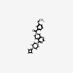 COc1cccc(C(=O)N2CCc3c(ncnc3N3CCN(C4CCC4)CC3)C2)c1